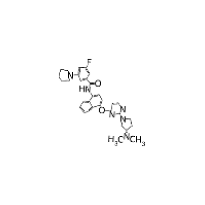 CN(C)[C@@H]1CCN(c2nccc(Oc3ccc(NC(=O)c4cc(F)cc(N5CCCCC5)c4)c4ccccc34)n2)C1